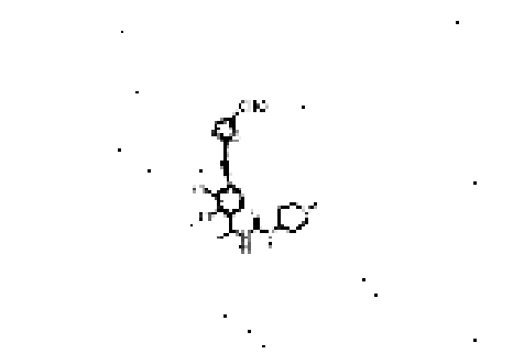 CC(NC(=O)N(C)C1CCN(C)CC1)c1ccc(C#Cc2ccc(C=O)s2)c(Cl)c1Cl